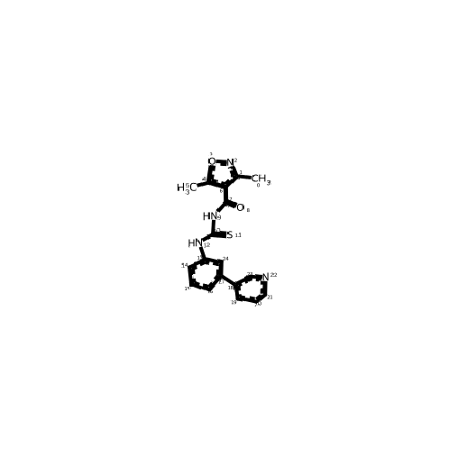 Cc1noc(C)c1C(=O)NC(=S)Nc1cccc(-c2cccnc2)c1